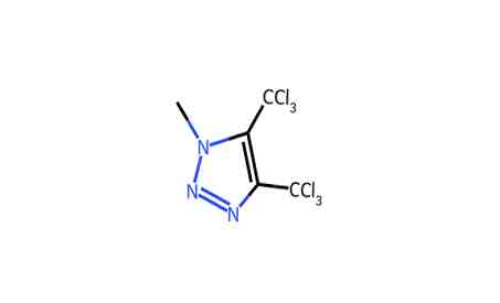 Cn1nnc(C(Cl)(Cl)Cl)c1C(Cl)(Cl)Cl